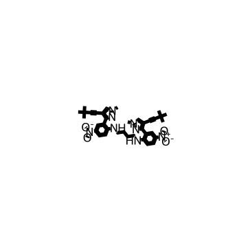 Cn1cc(C#CC(C)(C)C)c(-c2cc([N+](=O)[O-])ccc2NCCCCNc2ccc([N+](=O)[O-])cc2-c2nn(C)cc2C#CC(C)(C)C)n1